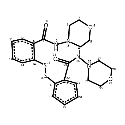 O=C(NN1CCOCC1)c1ccccc1SSc1ccccc1C(=O)NN1CCOCC1